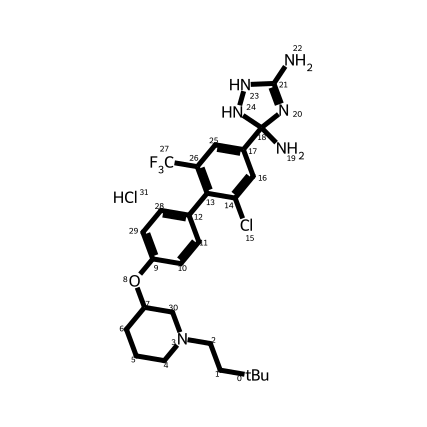 CC(C)(C)CCN1CCCC(Oc2ccc(-c3c(Cl)cc(C4(N)N=C(N)NN4)cc3C(F)(F)F)cc2)C1.Cl